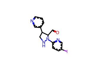 O=CC1C(c2cccnc2)CNN1c1ccc(I)cn1